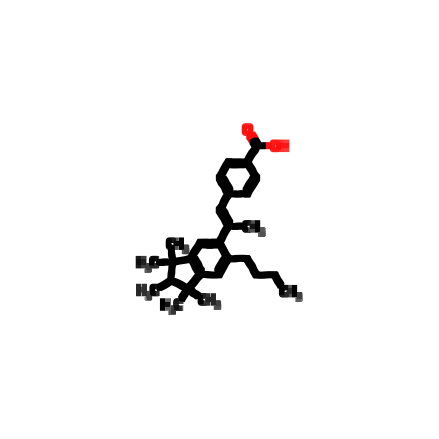 CCCCc1cc2c(cc1/C(C)=C/c1ccc(C(=O)O)cc1)C(C)(C)C(C)C2(C)C